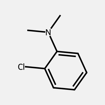 CN(C)c1ccccc1Cl